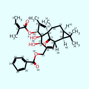 C/C=C(/C)C(=O)O[C@H]1C(C)=C[C@]23C(=O)[C@@H](C=C(COC(=O)c4ccccc4)[C@@H](O)[C@]12O)[C@H]1[C@@H](C[C@H]3C)C1(C)C